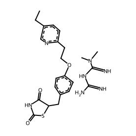 CCc1ccc(CCOc2ccc(CC3SC(=O)NC3=O)cc2)nc1.CN(C)C(=N)NC(=N)N